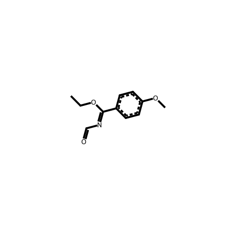 CCO/C(=N\C=O)c1ccc(OC)cc1